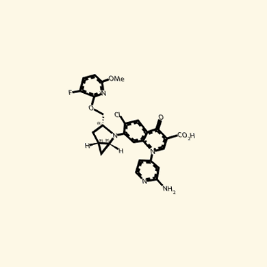 COc1ccc(F)c(OC[C@H]2C[C@H]3C[C@H]3N2c2cc3c(cc2Cl)c(=O)c(C(=O)O)cn3-c2ccnc(N)c2)n1